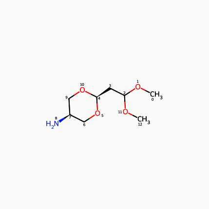 COC(C[C@H]1OC[C@@H](N)CO1)OC